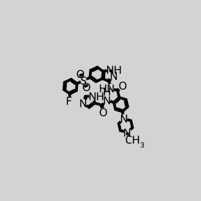 CN1CCN(c2ccc(C(=O)Nc3n[nH]c4ccc(S(=O)(=O)c5cccc(F)c5)cc34)c(NC(=O)c3cnc[nH]3)c2)CC1